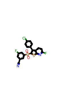 N#Cc1cc(F)cc(S(=O)(=O)c2sc3nc(F)ccc3c2-c2ccc(Cl)cc2)c1